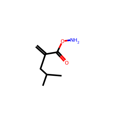 C=C(CC(C)C)C(=O)ON